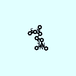 c1ccc(-c2nc(-c3ccccc3)nc(-c3cccc4c3sc3cccc(-c5cccc6c5c5cc7c(cc5n6-c5ccccc5)sc5ccccc57)c34)n2)cc1